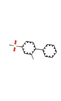 CS(=O)(=O)c1ccc(-c2ccccc2)c(C(F)(F)F)c1